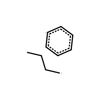 [CH2]CCC.[c]1ccccc1